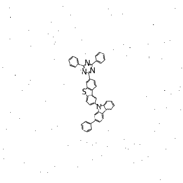 c1ccc(-c2ccc3c4ccccc4n(-c4ccc5sc6cc(-c7nc(-c8ccccc8)nc(-c8ccccc8)n7)ccc6c5c4)c3c2)cc1